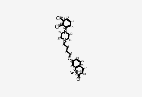 CNc1cc(OCCCCN2CCN(c3cccc(Cl)c3Cl)CC2)ccc1/C=C\C=O